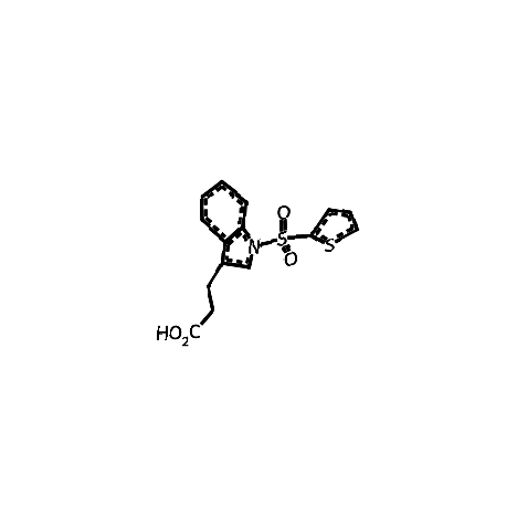 O=C(O)CCc1cn(S(=O)(=O)c2cccs2)c2ccccc12